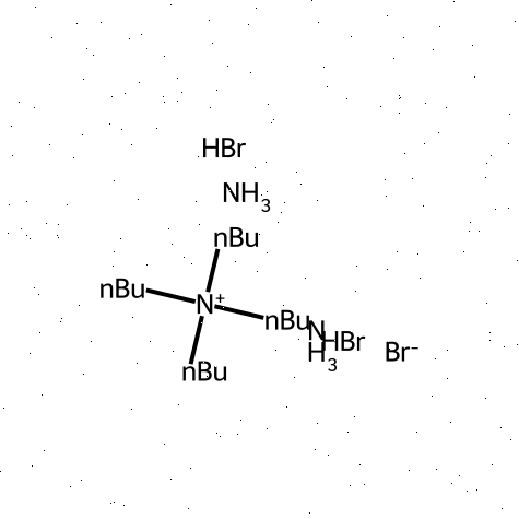 Br.Br.CCCC[N+](CCCC)(CCCC)CCCC.N.N.[Br-]